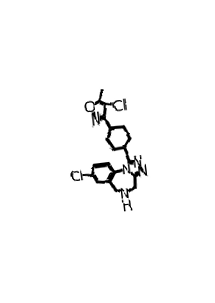 Cc1onc(C2CCC(c3nnc4n3-c3ccc(Cl)cc3CNC4)CC2)c1Cl